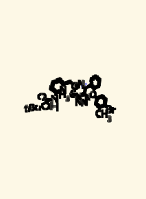 Cc1cc(Oc2ccccc2/C(=N/OCc2cccc(NC(=O)OC(C)(C)C)n2)c2nnnn2C)ccc1Br